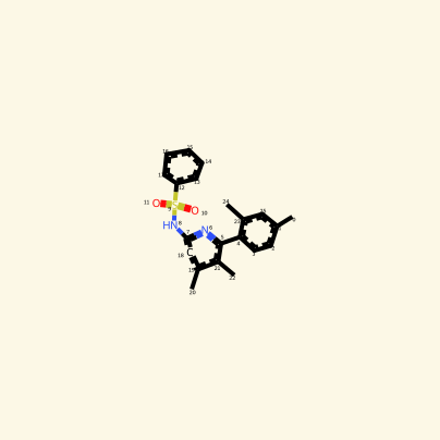 Cc1ccc(-c2nc(NS(=O)(=O)c3ccccc3)cc(C)c2C)c(C)c1